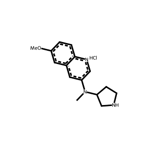 COc1ccc2ncc(N(C)C3CCNC3)cc2c1.Cl